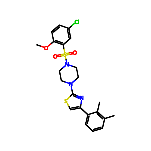 COc1ccc(Cl)cc1S(=O)(=O)N1CCN(c2nc(-c3cccc(C)c3C)cs2)CC1